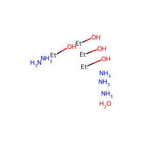 CCO.CCO.CCO.CCO.N.N.N.N.N.O